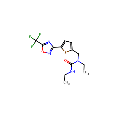 CCNC(=O)N(CC)Cc1ccc(-c2noc(C(F)(F)F)n2)s1